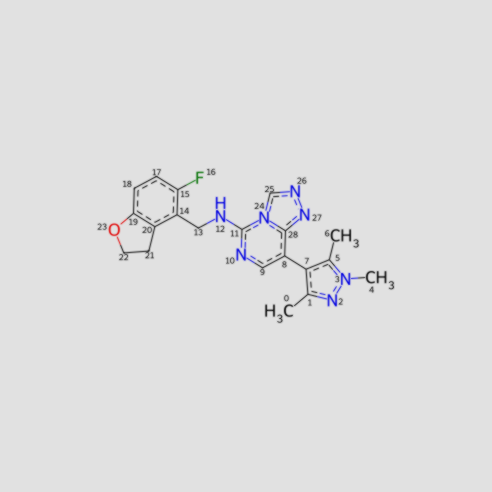 Cc1nn(C)c(C)c1-c1cnc(NCc2c(F)ccc3c2CCO3)n2cnnc12